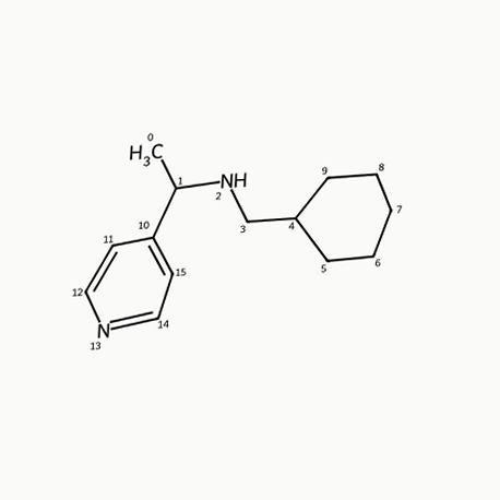 CC(NCC1CCCCC1)c1ccncc1